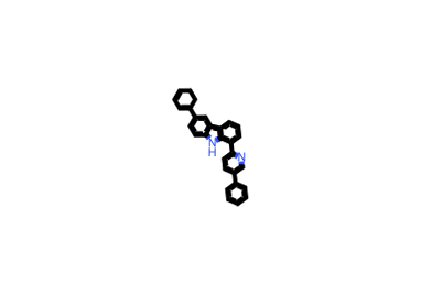 C1=CCCC(c2ccc3[nH]c4c(-c5ccc(-c6ccccc6)cn5)cccc4c3c2)=C1